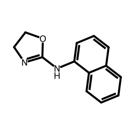 c1ccc2c(NC3=NCCO3)cccc2c1